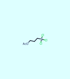 CC(=O)OCCC[Si](Cl)(Cl)Cl